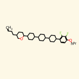 C=CCCC1CCC(C2CCC(C3CCC(C4CCC(c5ccc(OCCC)c(F)c5F)CC4)CC3)CC2)OC1